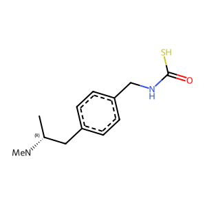 CN[C@H](C)Cc1ccc(CNC(=O)S)cc1